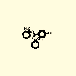 CC1(OC(OC2(C)CCCCC2)c2ccc(O)cc2)CCCCC1